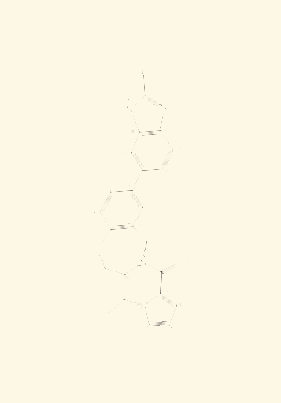 CCn1cccc1C(=O)N1CCOc2ccc(-c3ccc4nc(C)[nH]c4c3)cc2C1